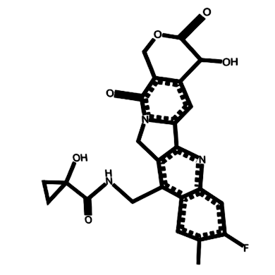 Cc1cc2c(CNC(=O)C3(O)CC3)c3c(nc2cc1F)-c1cc2c(c(=O)n1C3)COC(=O)C2O